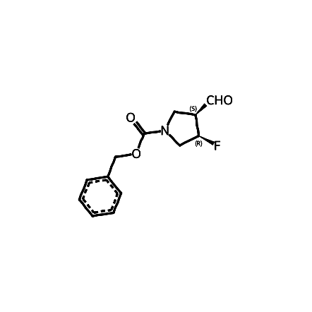 O=C[C@@H]1CN(C(=O)OCc2ccccc2)C[C@@H]1F